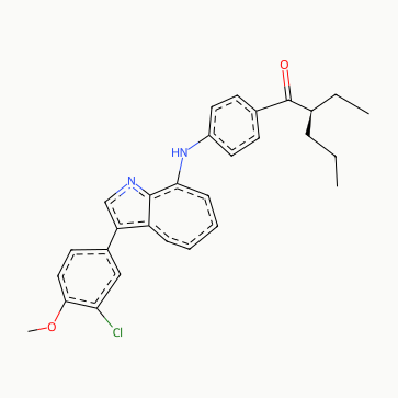 CCC[C@H](CC)C(=O)c1ccc(Nc2ccccc3c(-c4ccc(OC)c(Cl)c4)cnc2-3)cc1